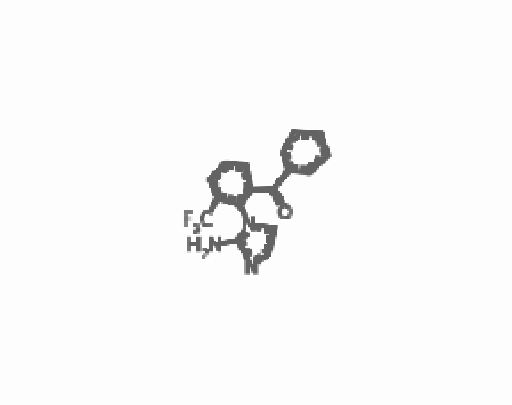 Nc1nccn1-c1c(C(=O)c2ccccc2)cccc1C(F)(F)F